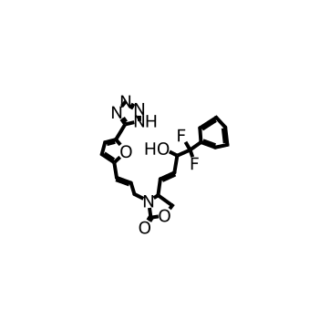 O=C1OCC(/C=C/C(O)C(F)(F)c2ccccc2)N1C/C=C/c1ccc(-c2nnn[nH]2)o1